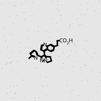 Cc1cccc(-c2nn3c(c2-c2ccnc4cc(CCC(=O)O)ccc24)CCC3)n1